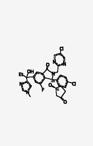 CCC(O)(c1cc(F)c2c(c1)C(=O)N(Cc1ncc(Cl)cn1)[C@@]2(O[C@H]1CCC(=O)C1)c1ccc(Cl)cc1)c1cn(C)cn1